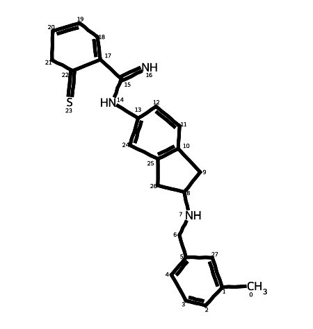 Cc1cccc(CNC2Cc3ccc(NC(=N)C4=CC=CCC4=S)cc3C2)c1